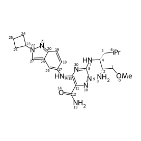 COC[C@H](N)[C@@H](CC(C)C)Nc1nnc(C(N)=O)c(Nc2ccc3nn(C4CCC4)cc3c2)n1